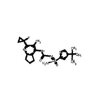 Cc1c(C2(F)CC2)nc2c(c1NC(=O)N=[S@@](N)(=O)c1cc(C(C)(C)O)cs1)CCC2